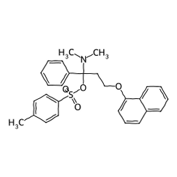 Cc1ccc(S(=O)(=O)OC(CCOc2cccc3ccccc23)(c2ccccc2)N(C)C)cc1